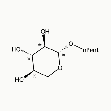 CCCCCO[C@@H]1OC[C@@H](O)[C@H](O)[C@H]1O